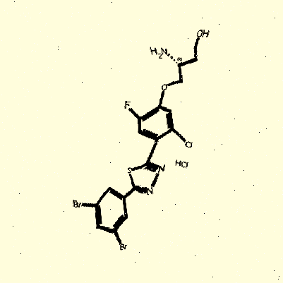 Cl.N[C@H](CO)COc1cc(Cl)c(-c2nnc(-c3cc(Br)cc(Br)c3)s2)cc1F